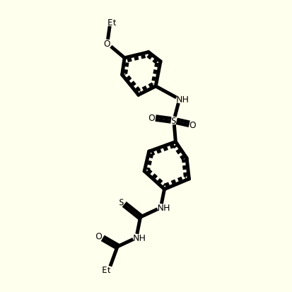 CCOc1ccc(NS(=O)(=O)c2ccc(NC(=S)NC(=O)CC)cc2)cc1